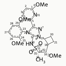 COc1cccc(-c2nnc(NS(=O)(=O)[C@@H](C)[C@@H](OC)C3CCC3)n2-c2c(OC)cccc2OC)n1